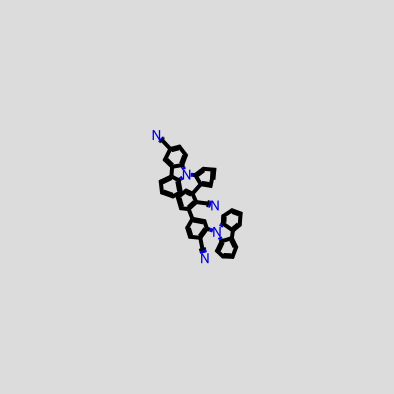 N#Cc1ccc2c(c1)c1ccccc1n2-c1ccccc1-c1cccc(-c2ccc(C#N)c(-n3c4ccccc4c4ccccc43)c2)c1C#N